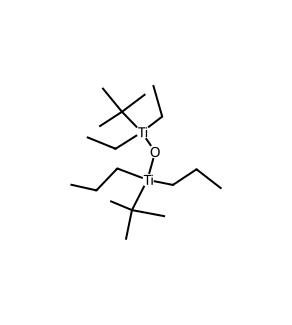 CC[CH2][Ti]([CH2]CC)([O][Ti]([CH2]C)([CH2]C)[C](C)(C)C)[C](C)(C)C